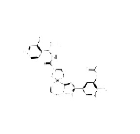 C[C@H](NC(=O)N1CCC2(C1)OCCn1nc(-c3cnc(N)c(OC(F)F)c3)cc12)c1ccncc1Cl